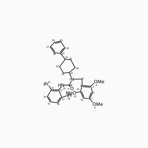 COc1cc(OC)c(CN(C(=O)Nc2c(C(C)C)cccc2C(C)C)C2CCC(c3ccccc3)CC2)c(OC)c1